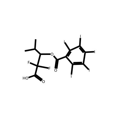 CC(C)C(OC(=O)c1c(I)c(I)c(I)c(I)c1I)C(F)(F)C(=O)O